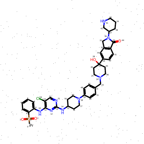 CC(C)S(=O)(=O)c1ccccc1Nc1nc(NC2CCN(c3ccc(CN4CCC(O)(c5ccc6c(c5)CN(C5CCCNC5)C6=O)CC4)cc3)CC2)ncc1Cl